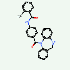 O=C(Nc1ccc(C(=O)N2c3ccccc3CNc3ccccc32)cc1)c1ccccc1C(F)(F)F